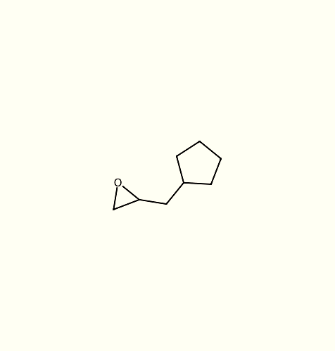 C1CCC(CC2CO2)C1